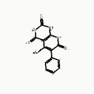 CCCCc1c(-c2ccccc2)c(=O)oc2[nH]c(=O)[nH]c(=O)c12